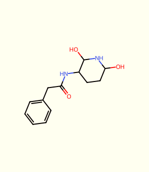 O=C(Cc1ccccc1)NC1CCC(O)NC1O